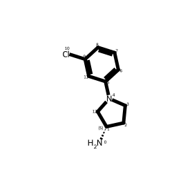 N[C@H]1CCN(c2cccc(Cl)c2)C1